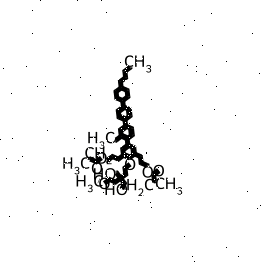 C=C(C)C(=O)OCCCc1cc(-c2ccc(-c3ccc(C4CCC(CCCCC)CC4)cc3)cc2CC)cc(CCCOC(=O)C(=C)C)c1OCCC(CO)(CO)CCOC